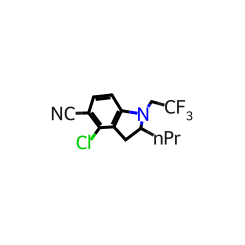 CCCC1Cc2c(ccc(C#N)c2Cl)N1CC(F)(F)F